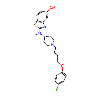 CN(c1nc2cc(O)ccc2s1)C1CCN(CCCCOc2ccc(F)cc2)CC1